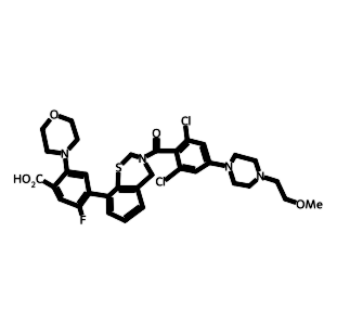 COCCN1CCN(c2cc(Cl)c(C(=O)N3CSc4c(cccc4-c4cc(N5CCOCC5)c(C(=O)O)cc4F)C3)c(Cl)c2)CC1